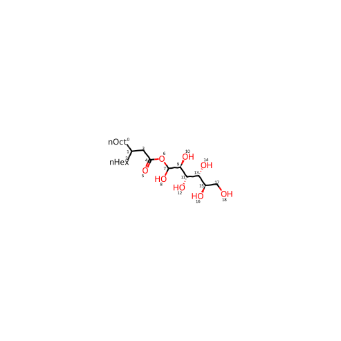 CCCCCCCCC(CCCCCC)CC(=O)OC(O)[C@@H](O)[C@@H](O)[C@H](O)[C@H](O)CO